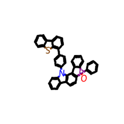 O=P1(c2ccccc2)c2ccccc2-c2c1ccc1c3ccccc3n(-c3ccc(-c4cccc5c4sc4ccccc45)cc3)c21